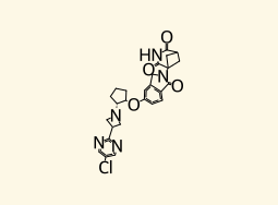 O=C1NC(=O)C2(N3Cc4cc(O[C@H]5CCC[C@H]5N5CC(c6ncc(Cl)cn6)C5)ccc4C3=O)CC1C2